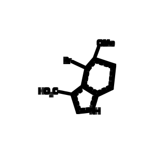 COc1ccc2[nH]cc(C(=O)O)c2c1Br